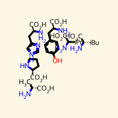 CC(C)C(N)C(=O)O.CCC(C)[C@H](N)C(=O)O.C[C@@H](N)C(=O)O.N[C@@H](Cc1c[nH]cn1)C(=O)O.N[C@@H](Cc1ccc(O)cc1)C(=O)O.O=C(O)[C@@H]1CCCN1